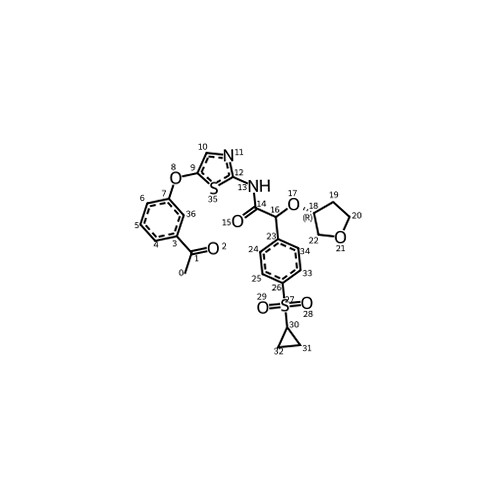 CC(=O)c1cccc(Oc2cnc(NC(=O)C(O[C@@H]3CCOC3)c3ccc(S(=O)(=O)C4CC4)cc3)s2)c1